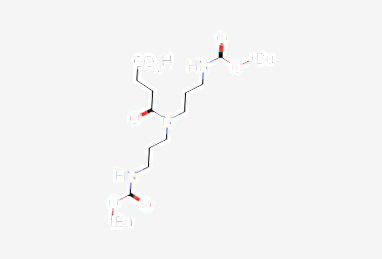 CC(C)(C)OC(=O)NCCCN(CCCNC(=O)OC(C)(C)C)C(=O)CCC(=O)O